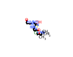 Cc1cc(N(C)C)nc2c1ccn2C(=O)c1nc(Nc2snc(O)c2C(=N)NCCC2CCC(=O)N2)ccc1Cl